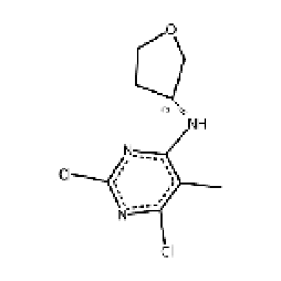 Cc1c(Cl)nc(Cl)nc1N[C@@H]1CCOC1